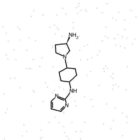 N[C@@H]1CCN(C2CCC(Nc3ncccn3)CC2)C1